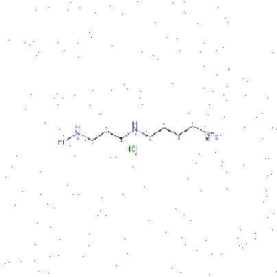 CCNCCCNCCCCN.Cl